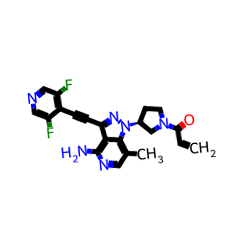 C=CC(=O)N1CC[C@H](n2nc(C#Cc3c(F)cncc3F)c3c(N)ncc(C)c32)C1